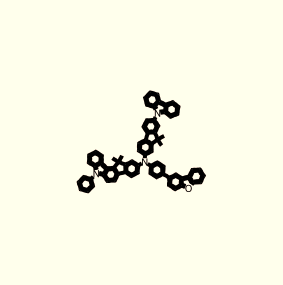 CC1(C)c2cc(N(c3ccc(-c4ccc5oc6ccccc6c5c4)cc3)c3ccc4c(c3)C(C)(C)c3c-4ccc4c3c3ccccc3n4-c3ccccc3)ccc2-c2ccc(-n3c4ccccc4c4ccccc43)cc21